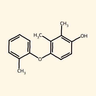 Cc1ccccc1Oc1ccc(O)c(C)c1C